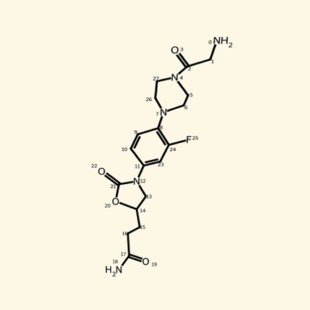 NCC(=O)N1CCN(c2ccc(N3CC(CCC(N)=O)OC3=O)cc2F)CC1